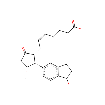 O=C(O)CCC/C=C\C[C@H]1C(=O)C[C@@H](O)[C@@H]1c1ccc2c(c1)CCC2O